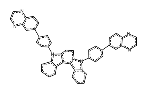 c1ccc2c(c1)c1c3c4ccccc4n(-c4ccc(-c5ccc6nccnc6c5)cc4)c3ccc1n2-c1ccc(-c2ccc3nccnc3c2)cc1